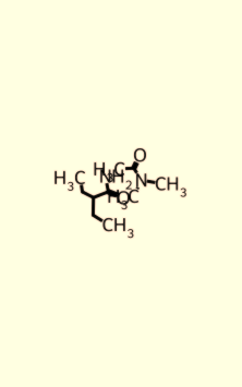 CC(=O)N(C)C.CCC(CC)C(N)=O